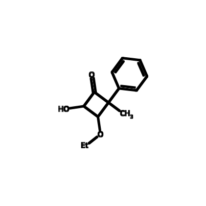 CCOC1C(O)C(=O)C1(C)c1ccccc1